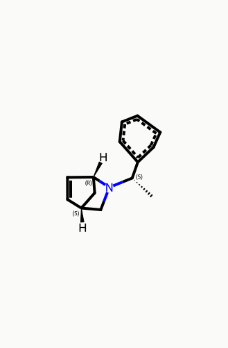 C[C@@H](c1ccccc1)N1C[C@@H]2C=C[C@H]1C2